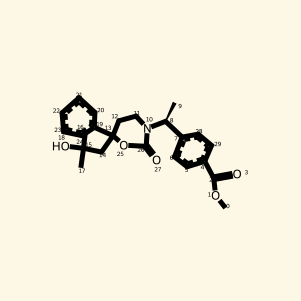 COC(=O)c1ccc([C@H](C)N2CCC(CC(C)(C)O)(c3ccccc3)OC2=O)cc1